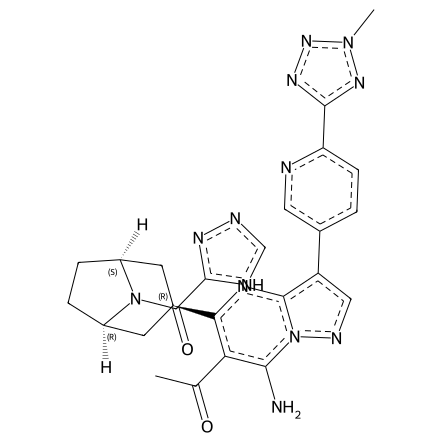 CC(=O)c1c([C@H]2C[C@H]3CC[C@@H](C2)N3C(=O)c2nnc[nH]2)nc2c(-c3ccc(-c4nnn(C)n4)nc3)cnn2c1N